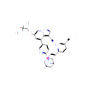 C#Cc1ccc(/C=C/CN2C3CC2CN(c2ccc(-c4cc(OCC(C)(C)O)cn5ncc(C#N)c45)cn2)C3)nc1